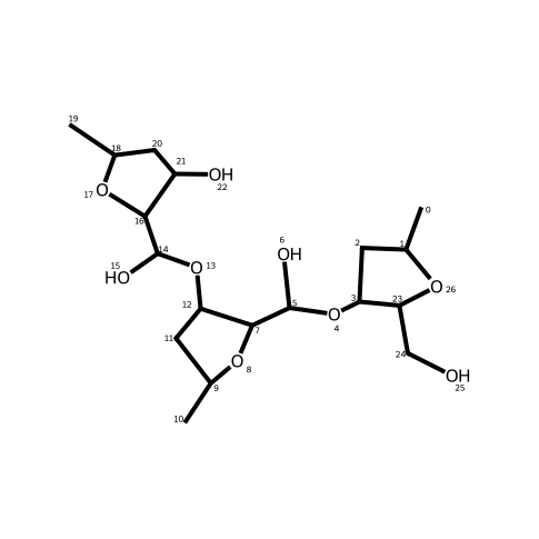 CC1CC(OC(O)C2OC(C)CC2OC(O)C2OC(C)CC2O)C(CO)O1